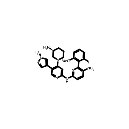 COc1cccc(F)c1-c1nc(Nc2cc(N3CCC[C@H](N)C3)c(-c3cnn(C(F)(F)F)c3)cn2)ccc1[N+](=O)[O-]